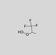 CC(OO)C(F)(F)F